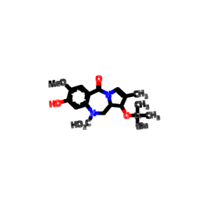 COc1cc2c(cc1O)N(C(=O)O)CC1C(O[Si](C)(C)C(C)(C)C)C(C)=CN1C2=O